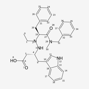 CCN(N[C@@H](CC(=O)O)Cc1c[nH]c2ccccc12)[C@@H](Cc1ccccc1)C(=O)N(C)Cc1ccccc1